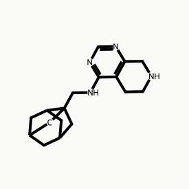 c1nc2c(c(NCC34CC5CC(CC3C5)C4)n1)CCNC2